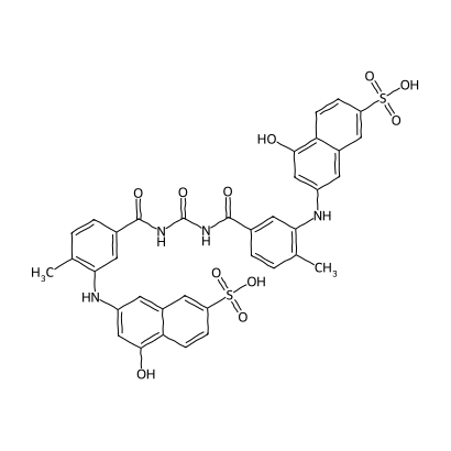 Cc1ccc(C(=O)NC(=O)NC(=O)c2ccc(C)c(Nc3cc(O)c4ccc(S(=O)(=O)O)cc4c3)c2)cc1Nc1cc(O)c2ccc(S(=O)(=O)O)cc2c1